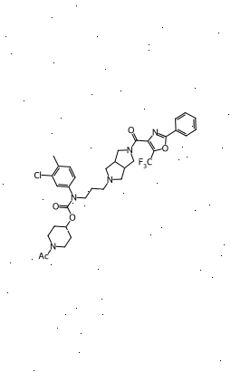 CC(=O)N1CCC(OC(=O)N(CCCN2CC3CN(C(=O)c4nc(-c5ccccc5)oc4C(F)(F)F)CC3C2)c2ccc(C)c(Cl)c2)CC1